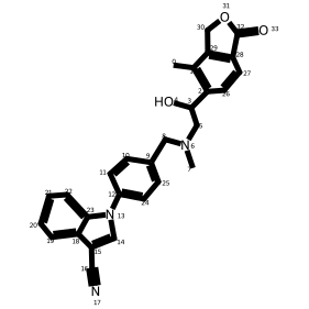 Cc1c(C(O)CN(C)Cc2ccc(-n3cc(C#N)c4ccccc43)cc2)ccc2c1COC2=O